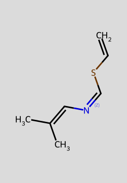 C=CS/C=N\C=C(C)C